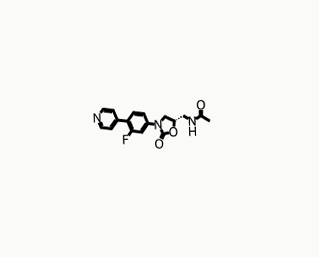 CC(=O)NC[C@H]1CN(c2ccc(-c3ccncc3)c(F)c2)C(=O)O1